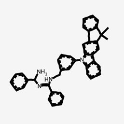 CC1(C)c2ccccc2-c2cc3c(cc21)c1ccccc1n3-c1cccc(CN/C(=N\C(N)c2ccccc2)c2ccccc2)c1